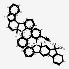 CC1(C)C2=CC3(C)C(C=C2C2=C1CCC=C2)c1ccccc1N3c1c(C#N)cccc1-c1ccccc1N1c2ccccc2C2c3c(oc4ccccc34)C=CC21C